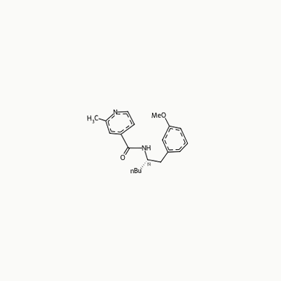 CCCC[C@@H](Cc1cccc(OC)c1)NC(=O)c1ccnc(C)c1